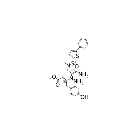 COC(=O)C[C@H](Cc1ccc(O)cc1)N(N)/C(=C\N)CN(C)[S+]([O-])c1ccc(-c2ccccc2)s1